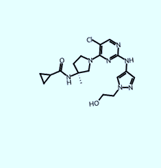 C[C@]1(NC(=O)C2CC2)CCN(c2nc(Nc3cnn(CCO)c3)ncc2Cl)C1